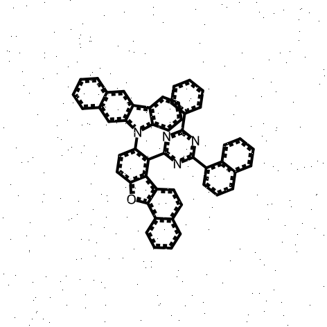 c1ccc(-c2nc(-c3cccc4ccccc34)nc(-c3c(-n4c5ccccc5c5cc6ccccc6cc54)ccc4oc5c6ccccc6ccc5c34)n2)cc1